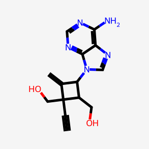 C#CC1(CO)C(=C)C(n2cnc3c(N)ncnc32)C1CO